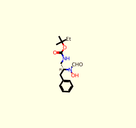 CCC(C)(C)OC(=O)NC[C@@H](Cc1ccccc1)N(O)C=O